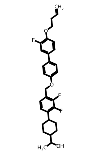 C=CCCOc1ccc(-c2ccc(OCc3ccc(C4CCC(C(C)O)CC4)c(F)c3F)cc2)cc1F